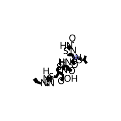 C#CCN1C=NN(SCC2=C(C(=O)O)N3C(=O)C(NC(=O)/C(=N\OC(C)C)c4csc(NC=O)n4)[C@H]3SC2)N1